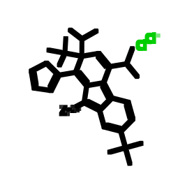 CC(C)C1=CC(C(C)C)(C(C)(C)C)C(C2=CC=CC2)=C2[C]([Zr+2])=c3cc(C(C)(C)C)ccc3=C12.[Cl-].[Cl-]